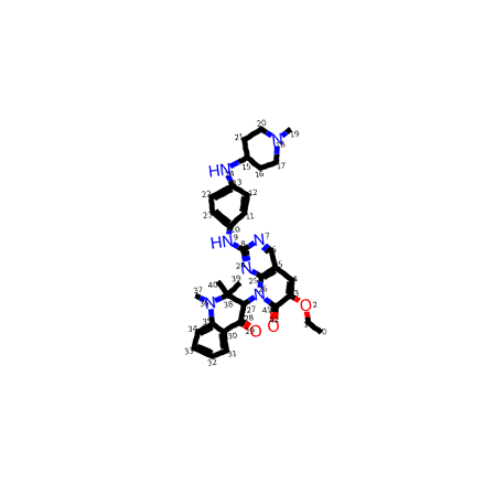 CCOc1cc2cnc(Nc3ccc(NC4CCN(C)CC4)cc3)nc2n(C2C(=O)c3ccccc3N(C)C2(C)C)c1=O